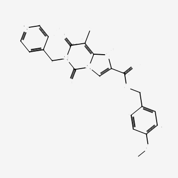 COc1ccc(COC(=O)c2cn3c(=O)n(Cc4ccncc4)c(=O)c(C)c3s2)cc1